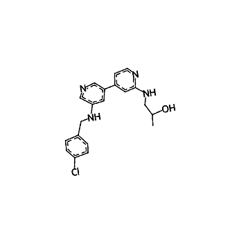 CC(O)CNc1cc(-c2cncc(NCc3ccc(Cl)cc3)c2)ccn1